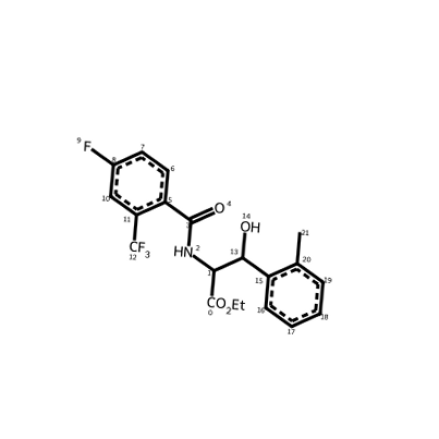 CCOC(=O)C(NC(=O)c1ccc(F)cc1C(F)(F)F)C(O)c1ccccc1C